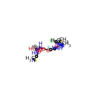 Cc1ncsc1-c1ccc(CNC(=O)[C@@H]2C[C@@H](O)CN2C(=O)[C@@H](NC(=O)COCCCOc2ccc(-c3ccc(NC(=O)C[C@@H]4N=C(c5ccc(Cl)cc5)c5c(sc(C)c5C)-n5c(C)nnc54)cn3)cc2F)C(C)(C)C)cc1